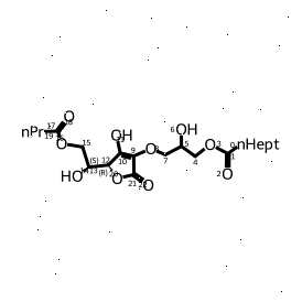 CCCCCCCC(=O)OCC(O)COC1=C(O)[C@@H]([C@@H](O)COC(=O)CCC)OC1=O